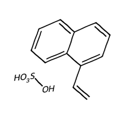 C=Cc1cccc2ccccc12.O=S(=O)(O)O